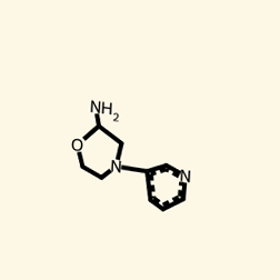 NC1CN(c2cccnc2)CCO1